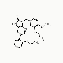 CCOc1cc(Cn2c(=O)[nH]c3cc(-c4ccccc4OCC)cnc32)ccc1OC